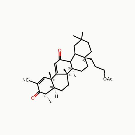 CC(=O)OCCC[C@]12CCC(C)(C)CC1C1C(=O)C=C3[C@@]4(C)C=C(C#N)C(=O)[C@@H](C)[C@@H]4CC[C@@]3(C)[C@]1(C)CC2